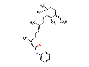 CC1=C(/C=C/C(C)=C/C=C/C(C)=C\C(=O)Nc2ccccc2)C(C)(C)CCC1=CC(=O)O